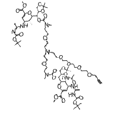 C#CCOCCOCCOCCOCCN(CCOCCN(C)C(=O)O[C@@H]([C@@H]1OC(C(=O)OC)=C[C@H](N/C(C)=N\C(=O)OC(C)(C)C)[C@H]1C)[C@H]1COC(C)(C)O1)CCOCCN(C)C(=O)O[C@@H]([C@@H]1OC(C(=O)OC)=C[C@H](NC(=C)NC(=O)OC(C)(C)C)[C@H]1NC(C)=O)[C@H]1COC(C)(C)O1